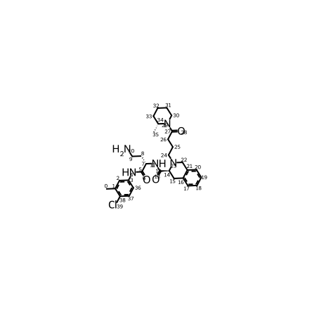 Cc1cc(NC(=O)[C@H](CCN)NC(=O)[C@@H]2Cc3ccccc3CN2CCCC(=O)N2CCCC[C@H]2C)ccc1Cl